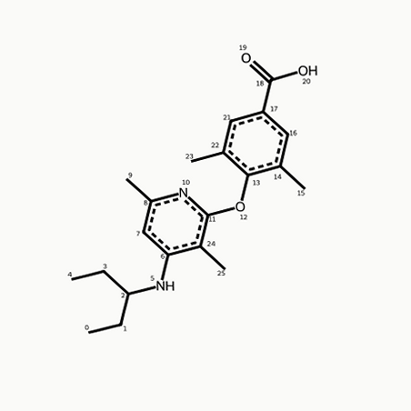 CCC(CC)Nc1cc(C)nc(Oc2c(C)cc(C(=O)O)cc2C)c1C